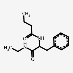 CCCC(=O)NC(Cc1ccccc1)C(=O)NCC